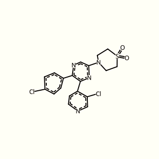 O=S1(=O)CCN(c2cnc(-c3ccc(Cl)cc3)c(-c3ccncc3Cl)n2)CC1